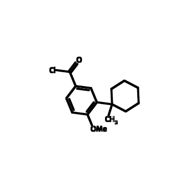 COc1ccc(C(=O)Cl)cc1C1(C)CCCCC1